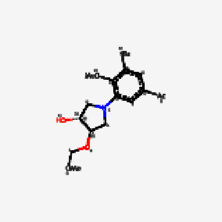 COCO[C@@H]1CN(c2cc(C(C)=O)cc(C(C)(C)C)c2OC)C[C@H]1O